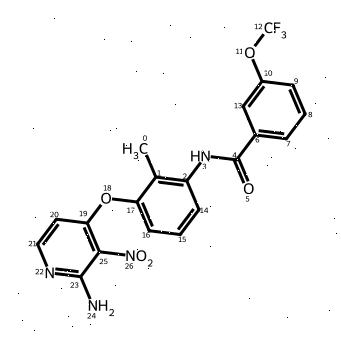 Cc1c(NC(=O)c2cccc(OC(F)(F)F)c2)cccc1Oc1ccnc(N)c1[N+](=O)[O-]